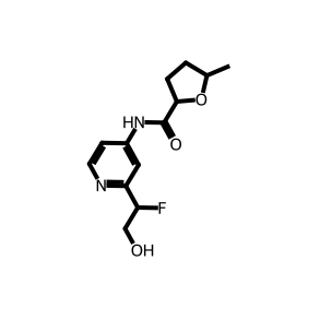 CC1CCC(C(=O)Nc2ccnc(C(F)CO)c2)O1